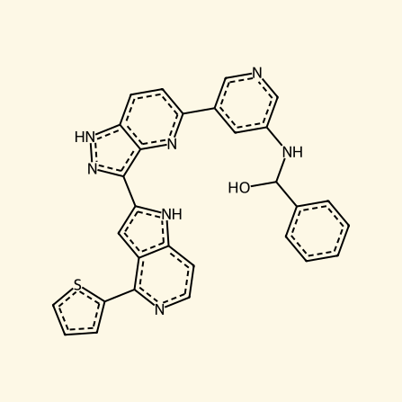 OC(Nc1cncc(-c2ccc3[nH]nc(-c4cc5c(-c6cccs6)nccc5[nH]4)c3n2)c1)c1ccccc1